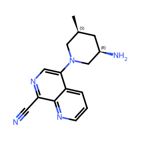 C[C@H]1C[C@@H](N)CN(c2cnc(C#N)c3ncccc23)C1